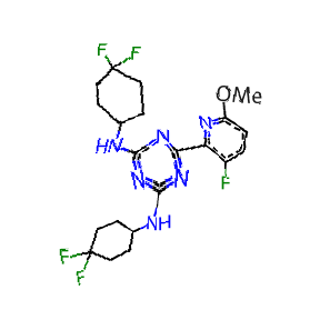 COc1ccc(F)c(-c2nc(NC3CCC(F)(F)CC3)nc(NC3CCC(F)(F)CC3)n2)n1